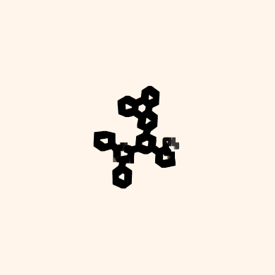 Cc1ncccc1-c1cc(-c2ccc3c4ccccc4c4ccccc4c3c2)cc(-c2nc(-c3ccccc3)nc(-c3ccccc3)n2)c1